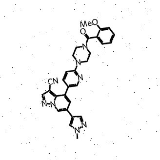 COc1ccccc1C(=O)N1CCN(c2ccc(-c3cc(-c4cnn(C)c4)cn4ncc(C#N)c34)cn2)CC1